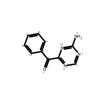 Nc1ncnc(C(=O)c2ccccc2)n1